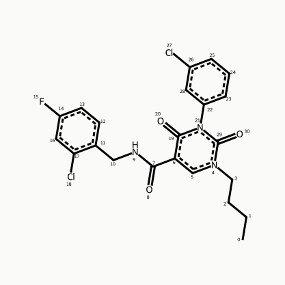 CCCCn1cc(C(=O)NCc2ccc(F)cc2Cl)c(=O)n(-c2cccc(Cl)c2)c1=O